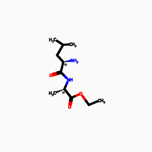 CCOC(=O)[C@H](C)NC(=O)[C@@H](N)CC(C)C